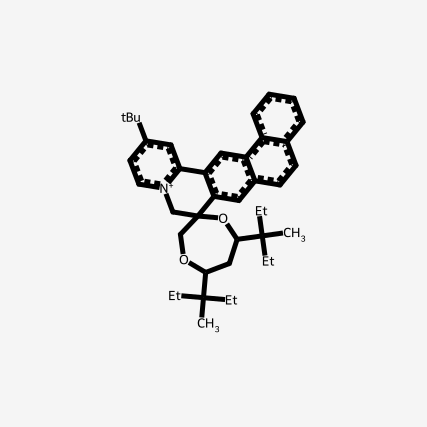 CCC(C)(CC)C1CC(C(C)(CC)CC)OC2(CO1)C[n+]1ccc(C(C)(C)C)cc1-c1cc3c(ccc4ccccc43)cc12